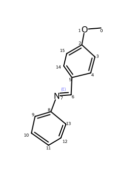 COc1ccc(/C=N/c2ccccc2)cc1